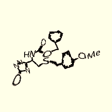 COc1ccc(CSCC(NC(=O)OCc2ccccc2)C2=NC(=O)N=N2)cc1